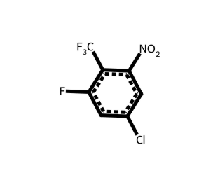 O=[N+]([O-])c1cc(Cl)cc(F)c1C(F)(F)F